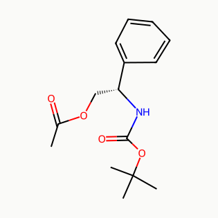 CC(=O)OC[C@@H](NC(=O)OC(C)(C)C)c1ccccc1